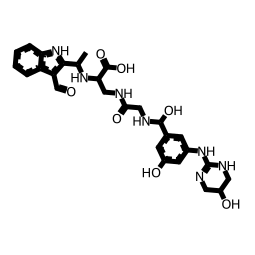 CC(NC(CNC(=O)CNC(O)c1cc(O)cc(NC2=NCC(O)CN2)c1)C(=O)O)c1[nH]c2ccccc2c1C=O